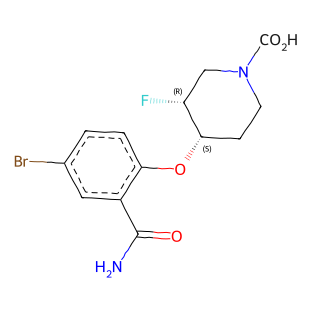 NC(=O)c1cc(Br)ccc1O[C@H]1CCN(C(=O)O)C[C@H]1F